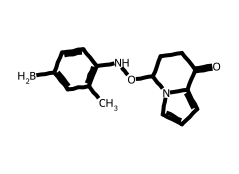 Bc1ccc(NOC2CCC(=O)c3cccn32)c(C)c1